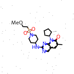 COCCS(=O)(=O)N1CCC(Nc2ncc3cc(C)c(=O)n([C@@H]4CCC[C@@H]4C)c3n2)CC1